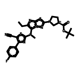 CCc1nc2sc(N3CC[C@@H](C(=O)OC(C)(C)C)C3)nn2c1N(C)c1nc(-c2ccc(F)cc2)c(C#N)s1